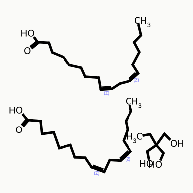 CCC(CO)(CO)CO.CCCCC/C=C\C/C=C\CCCCCCCC(=O)O.CCCCC/C=C\C/C=C\CCCCCCCC(=O)O